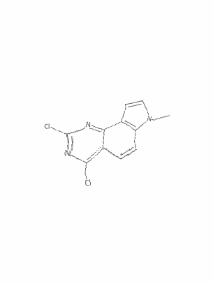 Cn1ccc2c3nc(Cl)nc(Cl)c3ccc21